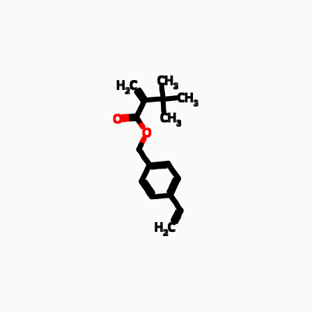 C=Cc1ccc(COC(=O)C(=C)C(C)(C)C)cc1